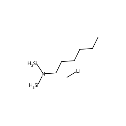 CCCCCCN([SiH3])[SiH3].[Li][CH3]